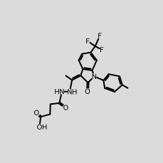 C/C(NNC(=O)CCC(=O)O)=C1/C(=O)N(c2ccc(C)cc2)c2cc(C(F)(F)F)ccc21